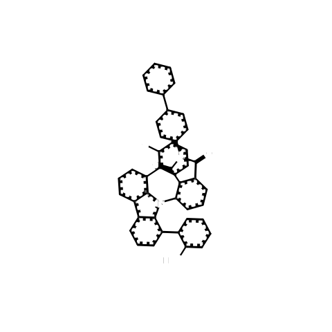 Cc1ccccc1-c1cccc2c3cccc(-c4ccccc4C)c3n(-c3cccc4c3C(=O)N(c3ccc(-c5ccccc5)cc3)C4=O)c12